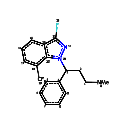 CNCCC(c1ccccc1)n1nc(F)c2cccc(C(F)(F)F)c21